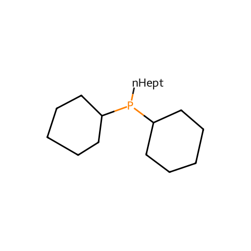 CCCCCCCP(C1CCCCC1)C1CCCCC1